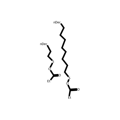 CCCCCCCCCCCCCCCCCCSOC(=O)CC.CCCCCCCCCCCCSOC(=O)CC